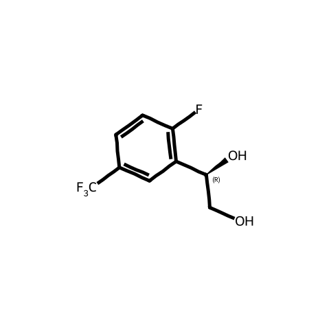 OC[C@H](O)c1cc(C(F)(F)F)ccc1F